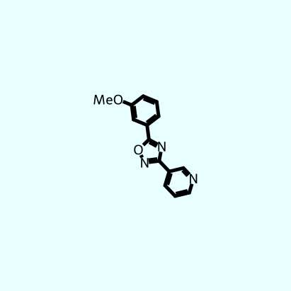 COc1cccc(-c2nc(-c3cccnc3)no2)c1